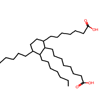 CCCCCCCC1C(CCCCC)CCC(CCCCCCC(=O)O)C1CCCCCCCC(=O)O